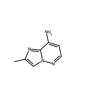 Cc1cn2nccc(N)c2n1